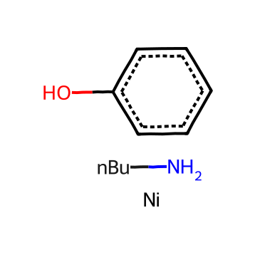 CCCCN.Oc1ccccc1.[Ni]